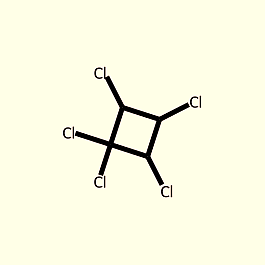 ClC1C(Cl)C(Cl)(Cl)C1Cl